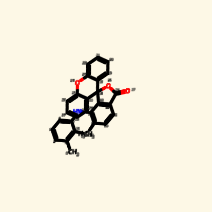 Cc1cccc(Nc2c(C)ccc3c2C2(OC3=O)c3ccccc3Oc3ccccc32)c1C